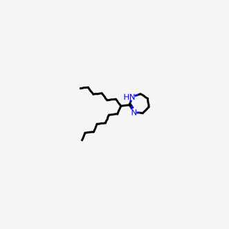 CCCCCCCC(CCCCCC)C1=NCCCCN1